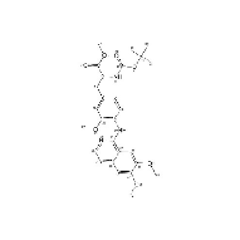 COC(=O)C(Cc1ccc(Nc2ncnc3cc(OC)c(OC)cc23)c(OC)c1)NC(=O)OC(C)(C)C